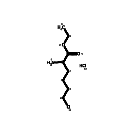 CCOC(=O)C(N)CCCCCl.Cl